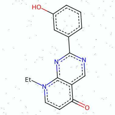 CCn1ccc(=O)c2cnc(-c3cccc(O)c3)nc21